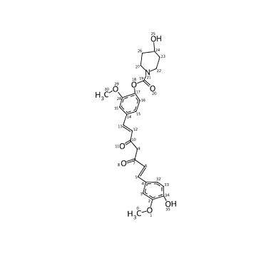 COc1cc(/C=C/C(=O)CC(=O)/C=C/c2ccc(OC(=O)N3CCC(O)CC3)c(OC)c2)ccc1O